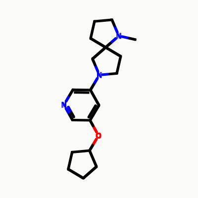 CN1CCCC12CCN(c1cncc(OC3CCCC3)c1)C2